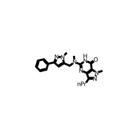 CCCc1nn(C)c2c(=O)[nH]c(N(C)Cc3cc(-c4ccccc4)nn3C)nc12